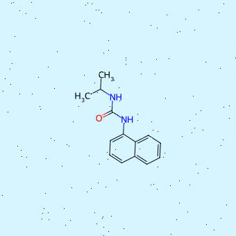 CC(C)NC(=O)Nc1cccc2ccccc12